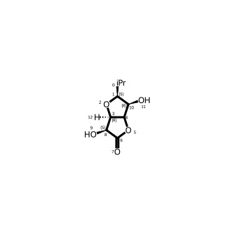 CC(C)[C@@H]1O[C@H]2C(OC(=O)[C@H]2O)[C@@H]1O